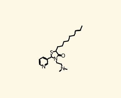 CCCCCCCCCC1SC(c2cccnc2)N(CCN(C)C)C1=O